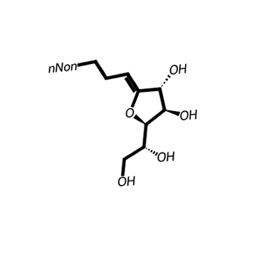 CCCCCCCCCCCC=C1O[C@H]([C@H](O)CO)[C@H](O)[C@H]1O